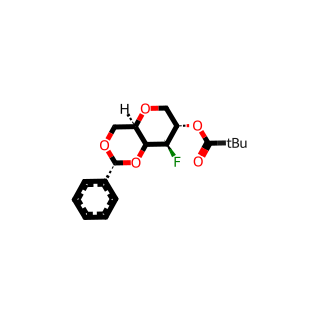 CC(C)(C)C(=O)O[C@H]1CO[C@@H]2CO[C@@H](c3ccccc3)OC2[C@@H]1F